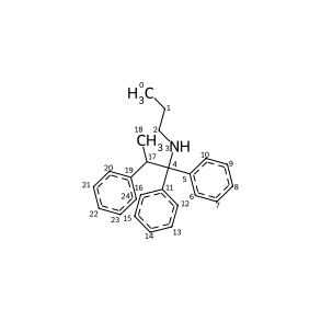 CCCNC(c1ccccc1)(c1ccccc1)C(C)c1ccccc1